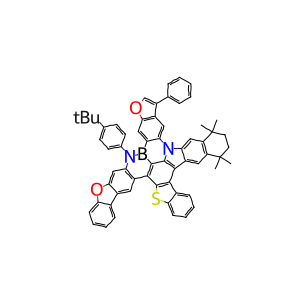 CC(C)(C)c1ccc(N2B3c4cc5occ(-c6ccccc6)c5cc4-n4c5cc6c(cc5c5c7c(sc8ccccc87)c(c3c54)-c3cc4c(cc32)oc2ccccc24)C(C)(C)CCC6(C)C)cc1